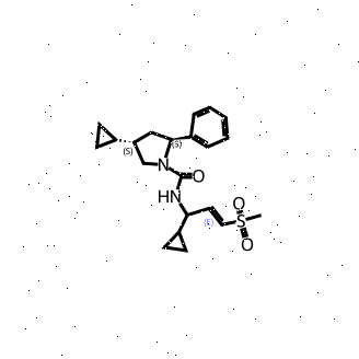 CS(=O)(=O)/C=C/C(NC(=O)N1C[C@H](C2CC2)C[C@H]1c1ccccc1)C1CC1